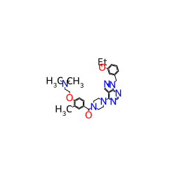 CCOc1cccc(Cn2ncc3c(N4CCN(C(=O)c5ccc(OCCN(C)C)c(C)c5)CC4)ncnc32)c1